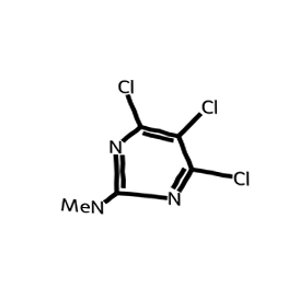 CNc1nc(Cl)c(Cl)c(Cl)n1